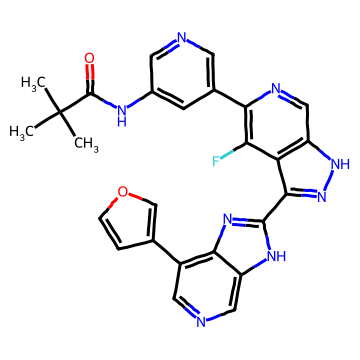 CC(C)(C)C(=O)Nc1cncc(-c2ncc3[nH]nc(-c4nc5c(-c6ccoc6)cncc5[nH]4)c3c2F)c1